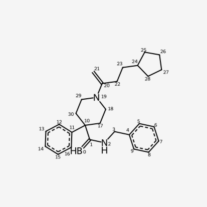 B=C(NCc1ccccc1)C1(c2ccccc2)CCN(C(=C)CCC2CCCC2)CC1